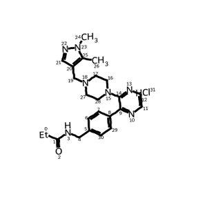 CCC(=O)NCc1ccc(-c2nccnc2N2CCN(Cc3cnn(C)c3C)CC2)cc1.Cl